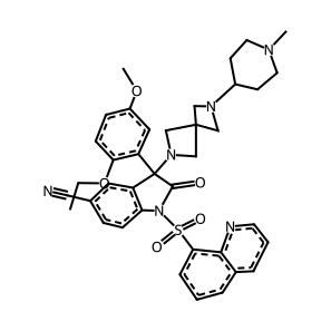 CCOc1ccc(OC)cc1C1(N2CC3(CN(C4CCN(C)CC4)C3)C2)C(=O)N(S(=O)(=O)c2cccc3cccnc23)c2ccc(C#N)cc21